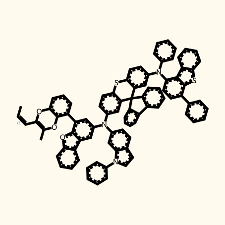 C/C=C\C1=C(C)Oc2c(cccc2-c2cc(N(c3ccc4c(c3)C3(c5cc(N(c6ccccc6)c6ccc(-c7ccccc7)c7sc8ccccc8c67)ccc5S4)c4ccccc4-c4ccccc43)c3ccc4ccn(-c5ccccc5)c4c3)cc3c2oc2ccccc23)O1